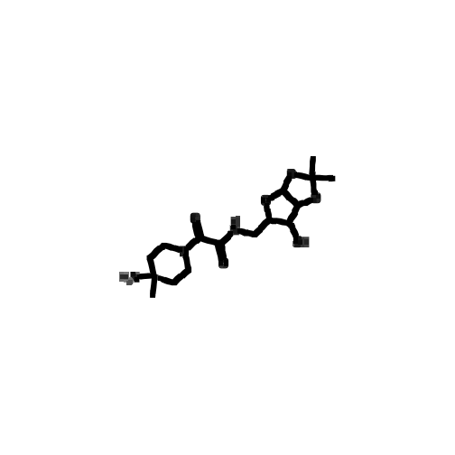 CC1(N)CCN(C(=O)C(=O)NCC2OC3OC(C)(C)OC3C2O)CC1